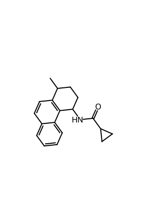 CC1CCC(NC(=O)C2CC2)c2c1ccc1ccccc21